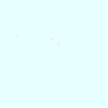 COC(=O)c1c(Oc2cccc(C(F)(F)F)c2)nnc2cc(C)ccc12